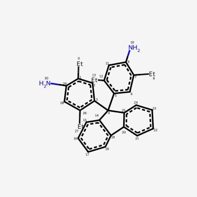 CCc1cc(C2(c3cc(CC)c(N)cc3CC)c3ccccc3-c3ccccc32)c(CC)cc1N